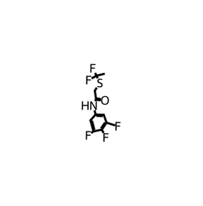 CC(F)(F)SCC(=O)Nc1cc(F)c(F)c(F)c1